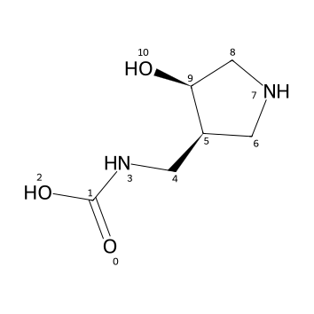 O=C(O)NC[C@@H]1CNC[C@@H]1O